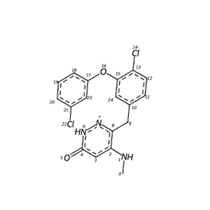 CNc1cc(=O)[nH]nc1Cc1ccc(Cl)c(Oc2cccc(Cl)c2)c1